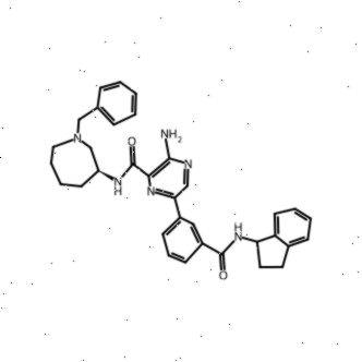 Nc1ncc(-c2cccc(C(=O)NC3CCc4ccccc43)c2)nc1C(=O)N[C@H]1CCCCN(Cc2ccccc2)C1